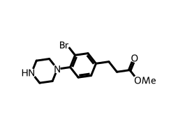 COC(=O)CCc1ccc(N2CCNCC2)c(Br)c1